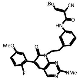 CNc1ncc2cc(-c3cc(OC)ccc3F)c(=O)n(CCc3cccc(NC(=O)C(C#N)=CC(C)(C)C)c3)c2n1